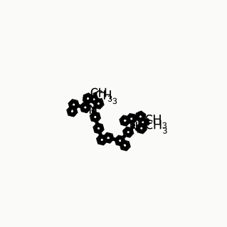 CC1(C)c2ccccc2-c2c(N(c3ccc(-c4ccc(-c5cccc6cc(-c7cc(-c8ccc(N(c9cccc%10c9-c9ccccc9C%10(C)C)c9cccc%10ccccc9%10)cc8)c8ccccc8c7)ccc56)cc4)cc3)c3ccc(-c4cccc5ccccc45)cc3)cccc21